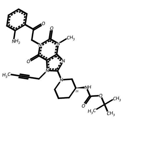 CC#CCn1c(N2CCC[C@H](NC(=O)OC(C)(C)C)C2)nc2c1c(=O)n(CC(=O)c1ccccc1N)c(=O)n2C